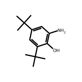 CC(C)(C)c1cc(N)c(O)c(C(C)(C)C)c1